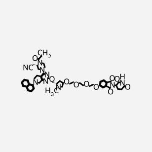 C=CC(=O)N1CCN(c2nc(OC[C@@H]3C[C@@H](OCCOCCOCCOc4ccc5c(c4)C(=O)N(C4CCC(=O)NC4=O)C5=O)CN3C)nc3c2CCN(c2cccc4ccccc24)C3)C[C@@H]1CC#N